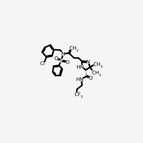 C=C(CCC1=NC(C)(C)[C@H](C(=O)NCCC(F)(F)F)N1)N(Cc1cccc(Cl)c1)S(=O)(=O)c1ccccc1